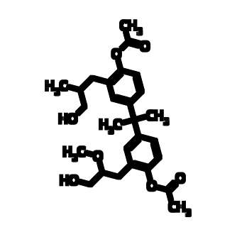 COC(CO)Cc1cc(C(C)(C)c2ccc(OC(C)=O)c(CC(C)CO)c2)ccc1OC(C)=O